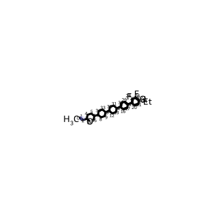 C/C=C/C1CCC(C2CCC(C3CCC(c4ccc(-c5ccc(OCC)c(F)c5F)cc4)CC3)CC2)CO1